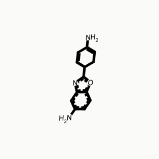 NC1=CCC(c2nc3cc(N)ccc3o2)C=C1